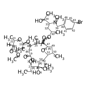 CC[C@@H](O)[C@@](C)(O)[C@@H]1OC(=O)[C@H](C)[C@@H](O[C@H]2CC3(OC)O[C@H]3C(C)O2)[C@H](C)[C@@H](OOC(C)CC(C(C)O)N(C)Cc2ccc(Br)cc2)[C@@]2(C)CC(C)C(O2)[C@@H]1C